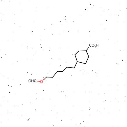 O=COCCCCCCC1CCC(C(=O)O)CC1